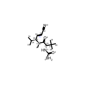 BC(=O)N[C@H](C(=O)N(C)[C@H](/C=C/C#N)C(C)C)C(C)(C)C